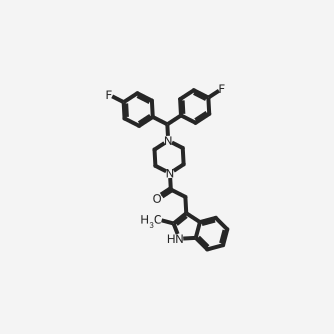 Cc1[nH]c2ccccc2c1CC(=O)N1CCN(C(c2ccc(F)cc2)c2ccc(F)cc2)CC1